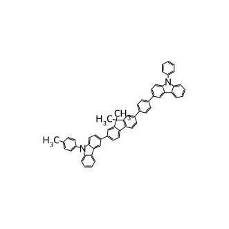 Cc1ccc(-n2c3ccccc3c3cc(-c4ccc5c(c4)C(C)(C)c4cc(-c6ccc(-c7ccc8c(c7)c7ccccc7n8-c7ccccc7)cc6)ccc4-5)ccc32)cc1